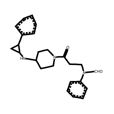 O=CN(CCC(=O)N1CCC(NC2CC2c2ccccc2)CC1)c1ccccc1